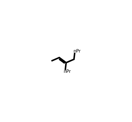 [CH2]CCCC(=CC)CCC